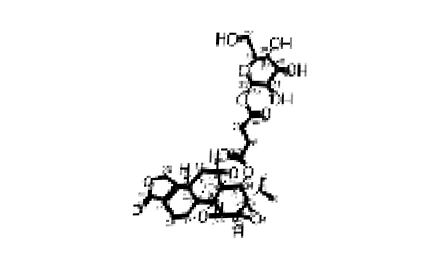 CC(C)[C@]12O[C@H]1[C@@H]1O[C@]13[C@]1(O[C@H]1C[C@H]1C4=C(CC[C@@]13C)C(=O)OC4)[C@@H]2OC(=O)CCC(=O)O[C@H]1OC(CO)[C@H](O)C(O)C1O